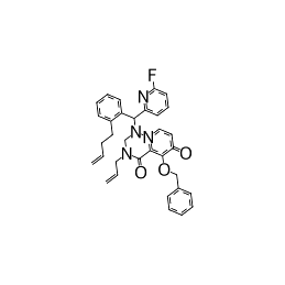 C=CCCc1ccccc1C(c1cccc(F)n1)N1CN(CC=C)C(=O)c2c(OCc3ccccc3)c(=O)ccn21